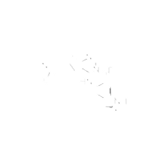 CCOc1cc2[nH]ncc2cc1Nc1ncnc2sc3c(c12)CC[C@H](C(=O)N1CCCCC1)C3